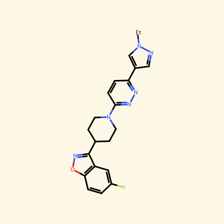 CCn1cc(-c2ccc(N3CCC(c4noc5ccc(F)cc45)CC3)nn2)cn1